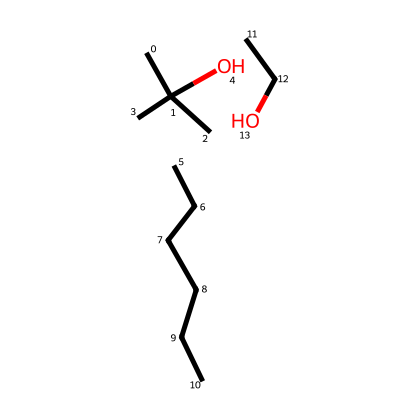 CC(C)(C)O.CCCCCC.CCO